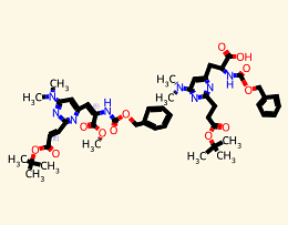 CN(C)c1cc(CC(NC(=O)OCc2ccccc2)C(=O)O)nc(CCC(=O)OC(C)(C)C)n1.COC(=O)/C(=C\c1cc(N(C)C)nc(/C=C/C(=O)OC(C)(C)C)n1)NC(=O)OCc1ccccc1